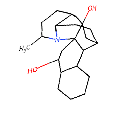 CC1CCC2C3CC4CC2(O)C2(CC(O)C5CCCCC5C42)N13